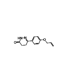 C=CCOc1ccc(C2=NNC(=O)CC2)cc1